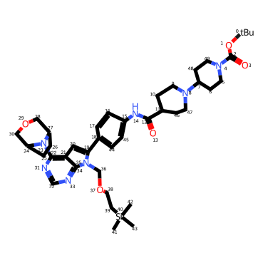 CC(C)(C)OC(=O)N1CCC(N2CCC(C(=O)Nc3ccc(-c4cc5c(N6C7CCC6COC7)ncnc5n4COCC[Si](C)(C)C)cc3)CC2)CC1